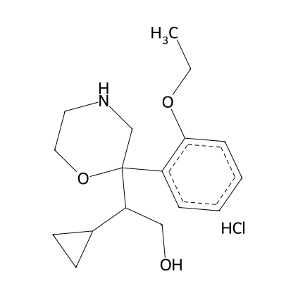 CCOc1ccccc1C1(C(CO)C2CC2)CNCCO1.Cl